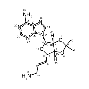 CC1(C)O[C@@H]2[C@H](O1)[C@@H](C=CCN)O[C@H]2n1cnc2c(N)ncnc21